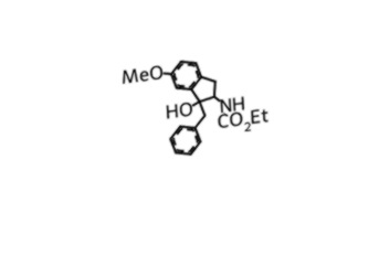 CCOC(=O)NC1Cc2ccc(OC)cc2C1(O)Cc1ccccc1